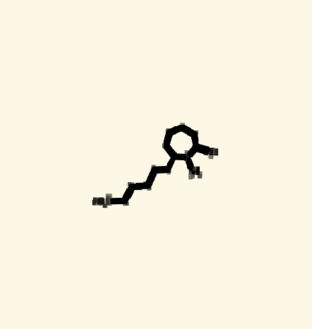 N=C1CCCC[C@H](CCCCCC(=O)O)N1N